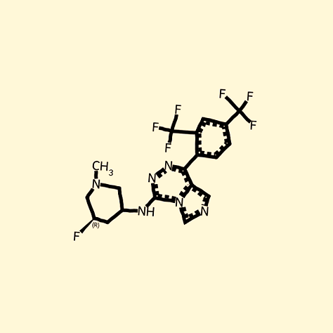 CN1CC(Nc2nnc(-c3ccc(C(F)(F)F)cc3C(F)(F)F)c3cncn23)C[C@@H](F)C1